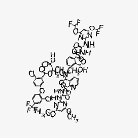 COc1cc(OC)nc(NC(=O)NS(=O)(=O)c2ncccc2C(=O)N(C)C)n1.C[C@H](OC(=O)c1cc(Oc2ccc(C(F)(F)F)cc2Cl)ccc1Cl)C(=O)O.O=C(Nc1nc(OC(F)F)cc(OC(F)F)n1)NS(=O)(=O)c1ccccc1C(=O)O